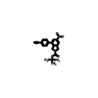 CC(C)(C)OC(=O)N1Cc2cc([N+](=O)[O-])cc(-c3ccc(C#N)cc3)c2C1